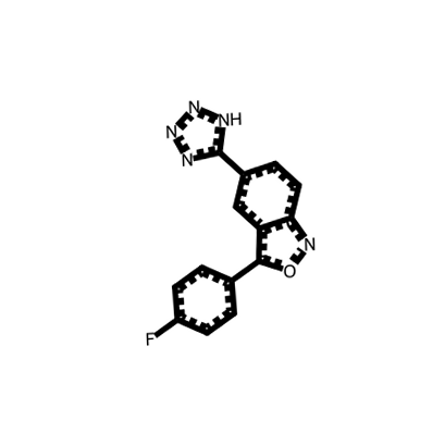 Fc1ccc(-c2onc3ccc(-c4nnn[nH]4)cc23)cc1